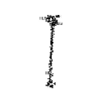 CC(C)(C)[Si](C)(C)O[C@@H]1[C@@H](CO)OC(n2cnc3c(N)ncnc32)[C@@H]1OCC(=O)NCCOCCOCCOCCOCCOCCOCCOCCOCCOCCOCCNC(=O)CCCC[C@@H]1SC[C@@H]2NC(=O)N[C@@H]21